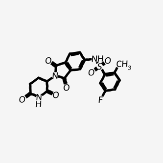 Cc1ccc(F)cc1S(=O)(=O)Nc1ccc2c(c1)C(=O)N(C1CCC(=O)NC1=O)C2=O